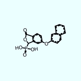 O=C1OC(P(=O)(O)O)c2cc(Oc3ccc4ccccc4c3)ccc21